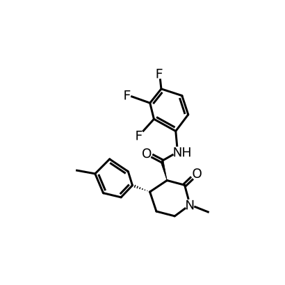 Cc1ccc([C@H]2CCN(C)C(=O)[C@@H]2C(=O)Nc2ccc(F)c(F)c2F)cc1